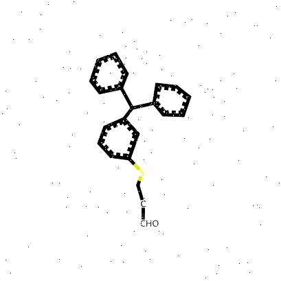 O=CCCSc1cccc(C(c2ccccc2)c2ccccc2)c1